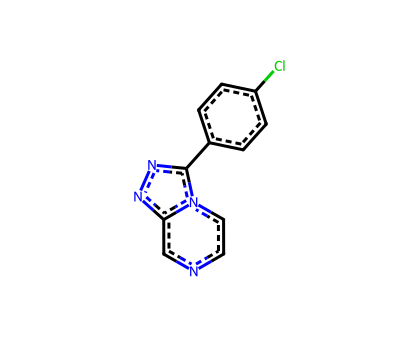 Clc1ccc(-c2nnc3cnccn23)cc1